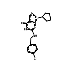 O=c1[nH]c(NCc2ccc(Cl)cc2)nc2c1cnn2C1CCCC1